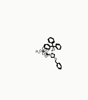 CC(C)(C)OC(=O)N1C[C@H](OCc2ccccc2)C[C@H]1COC(c1ccccc1)(c1ccccc1)c1ccccc1